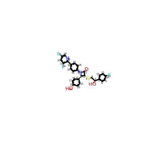 O=C1[C@H](SC[C@H](O)c2ccc(F)cc2)[C@@H](c2ccc(O)cc2)N1c1ccc(-c2ncc(F)cc2F)cc1